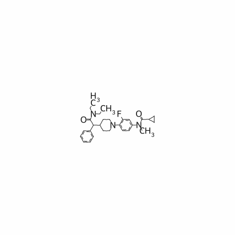 CCN(CC)C(=O)C(c1ccccc1)C1CCN(c2ccc(N(C)C(=O)C3CC3)cc2F)CC1